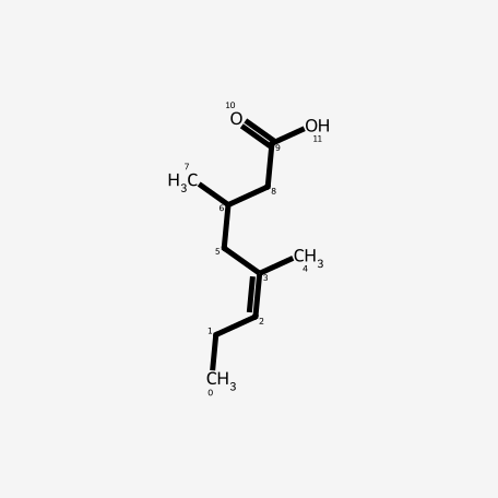 CCC=C(C)CC(C)CC(=O)O